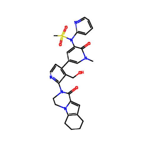 Cn1cc(-c2ccnc(N3CCn4c(cc5c4CCCC5)C3=O)c2CO)cc(N(c2ccccn2)S(C)(=O)=O)c1=O